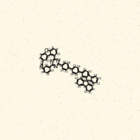 N#Cc1ccc2oc3cccc(-c4nc(-c5ccccc5)nc(-c5ccc(-c6ccc(-c7ccc8c(c7)C7(c9ccccc9-c9ccccc97)c7ccccc7-8)cc6)cc5)n4)c3c2c1